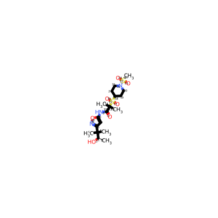 C[C@H](O)C(C)(C)c1cc(NC(=O)C(C)(C)S(=O)(=O)C2CCN(S(C)(=O)=O)CC2)on1